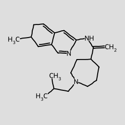 C=C(Nc1cc2c(cn1)=CC(C)CC=2)C1CCCN(CC(C)C)CC1